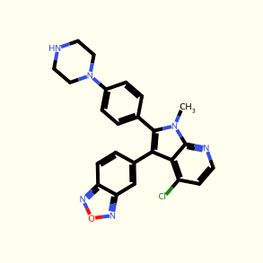 Cn1c(-c2ccc(N3CCNCC3)cc2)c(-c2ccc3nonc3c2)c2c(Cl)ccnc21